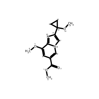 COC(=O)c1cc(OC)c2nc(C3(OC)CC3)cn2c1